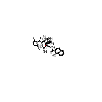 N=C1N[C@H]2[C@H](CN3C(=O)CCC3=O)NC(=N)N3CC(NC(=O)c4ccc5ccccc5c4O)C(O)(O)[C@]23N1